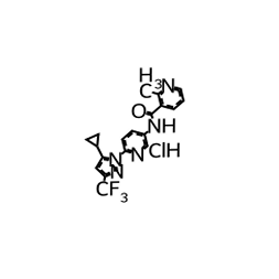 Cc1ncccc1C(=O)Nc1ccc(-n2nc(C(F)(F)F)cc2C2CC2)nc1.Cl